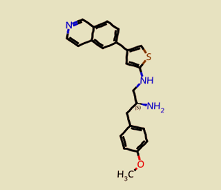 COc1ccc(C[C@H](N)CNc2cc(-c3ccc4cnccc4c3)cs2)cc1